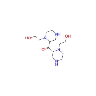 O=C(C1CNCCN1CCO)C1CNCCN1CCO